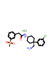 CS(=O)(=O)c1cccc(CC(=O)N[C@H]2CC[C@@](CN)(c3cccc(Cl)c3)CC2)c1.Cl